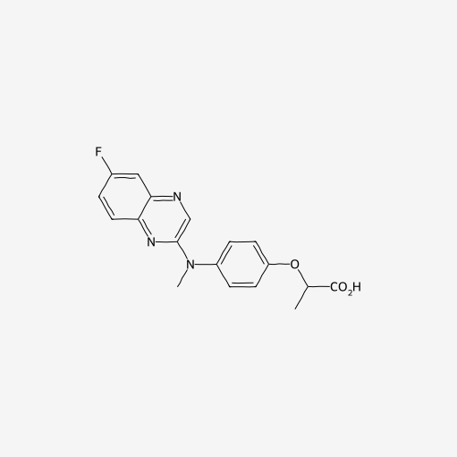 CC(Oc1ccc(N(C)c2cnc3cc(F)ccc3n2)cc1)C(=O)O